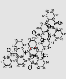 CCC(c1ccc(N(c2ccccc2C(=O)C(=O)c2ccccc2)c2ccccc2C(=O)C(=O)c2ccccc2)cc1)c1ccc(N(c2ccccc2C(=O)C(=O)c2ccccc2)c2ccccc2C(=O)C(=O)c2ccccc2)cc1